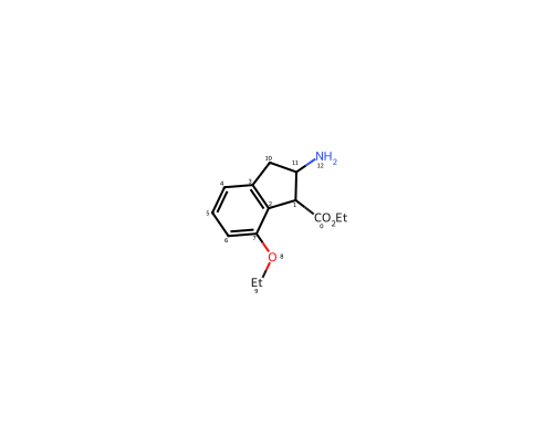 CCOC(=O)C1c2c(cccc2OCC)CC1N